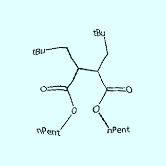 CCCCCOC(=O)C(CC(C)(C)C)C(CC(C)(C)C)C(=O)OCCCCC